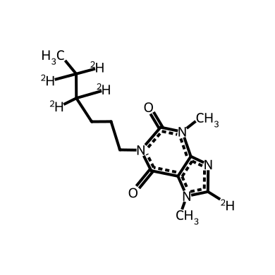 [2H]c1nc2c(c(=O)n(CCCC([2H])([2H])C([2H])([2H])C)c(=O)n2C)n1C